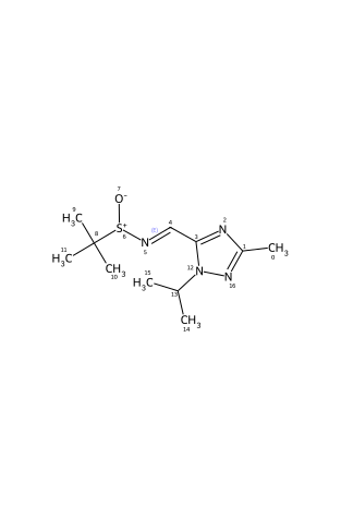 Cc1nc(/C=N/[S+]([O-])C(C)(C)C)n(C(C)C)n1